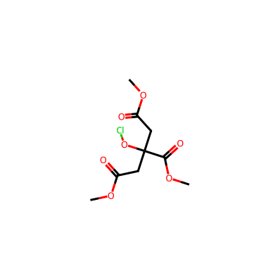 COC(=O)CC(CC(=O)OC)(OCl)C(=O)OC